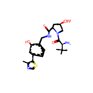 Cc1ncsc1-c1ccc(CNC(=O)C2C[C@@H](O)CN2C(=O)[C@@H](N)C(C)(C)C)c(O)c1